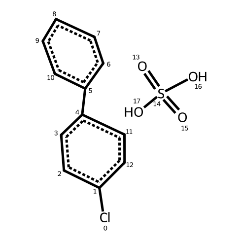 Clc1ccc(-c2ccccc2)cc1.O=S(=O)(O)O